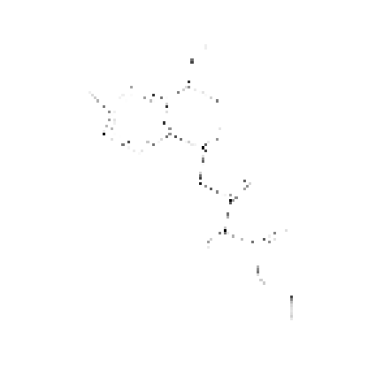 CCOC(=O)C(=O)C(=O)CC(=O)c1ccc(Br)cc1C(C)C